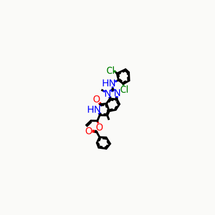 C=CC(OC(=O)c1ccccc1)c1[nH]c(=O)c2c(ccc3nc(Nc4c(Cl)cccc4Cl)n(C)c32)c1C